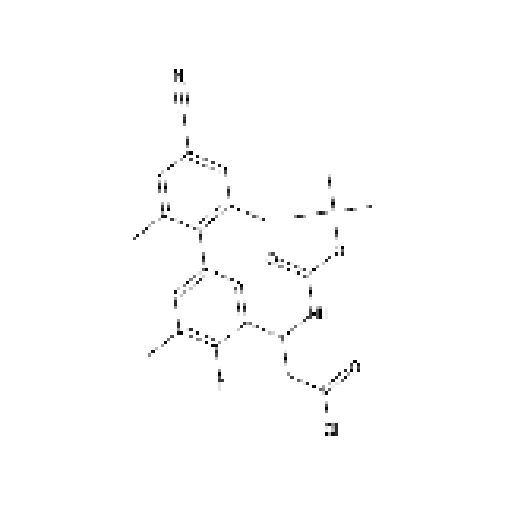 Cc1cc(-c2c(C)cc(C#N)cc2C)cc(C(CC(=O)O)NC(=O)OC(C)(C)C)c1F